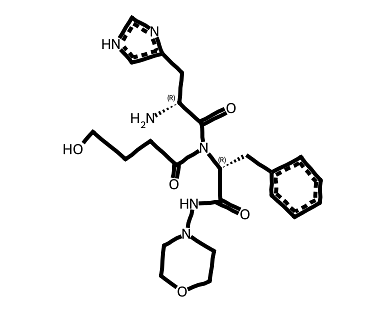 N[C@H](Cc1c[nH]cn1)C(=O)N(C(=O)CCCO)[C@H](Cc1ccccc1)C(=O)NN1CCOCC1